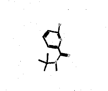 CN(C(=O)c1cccc(Br)n1)C(C)(C)C